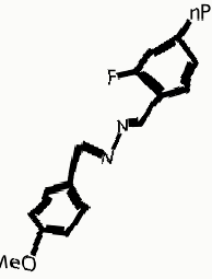 CCCc1ccc(/C=N/N=C/c2ccc(OC)cc2)c(F)c1